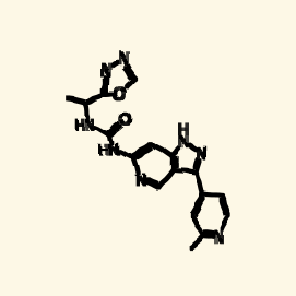 Cc1cc(-c2n[nH]c3cc(NC(=O)NC(C)c4nnco4)ncc23)ccn1